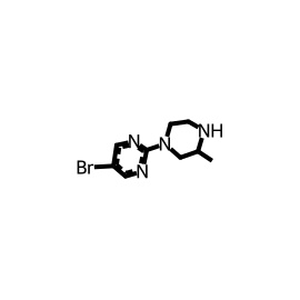 CC1CN(c2ncc(Br)cn2)CCN1